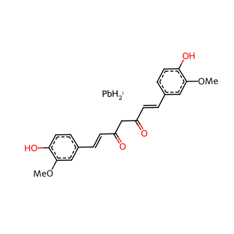 COc1cc(C=CC(=O)CC(=O)C=Cc2ccc(O)c(OC)c2)ccc1O.[PbH2]